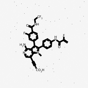 C=C(F)C(=O)Nc1ccc(-c2c(-c3ccc(C(=O)NCC(F)(F)F)c(F)c3)c3c(N)ncc(C#CC(=O)O)c3n2C)cc1